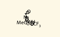 COc1cc2nc(C3CC34CCOCC4)cn2cc1C(=O)Nc1cccc(C(F)(F)F)n1